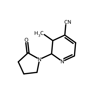 CC1C(C#N)=CC=NC1N1CCCC1=O